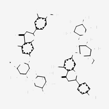 COc1ccc(C2CC(=O)c3c(O)cc(O[C@@H]4O[C@H](CO)[C@@H](O)[C@H](O)[C@H]4O[C@@H]4O[C@@H](C)[C@H](O)[C@@H](O)[C@H]4O)cc3O2)cc1O.C[C@@H]1O[C@@H](O[C@H]2[C@H](Oc3cc(O)c4c(c3)OC(c3ccc(O)cc3)CC4=O)O[C@H](CO)[C@@H](O)[C@@H]2O)[C@H](O)[C@H](O)[C@H]1O